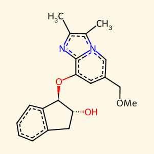 COCc1cc(O[C@@H]2c3ccccc3C[C@H]2O)c2nc(C)c(C)n2c1